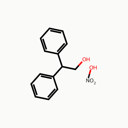 O=[N+]([O-])O.OCC(c1ccccc1)c1ccccc1